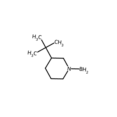 BN1CCCC(C(C)(C)C)C1